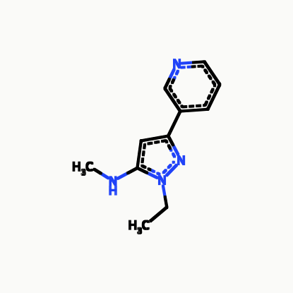 CCn1nc(-c2cccnc2)cc1NC